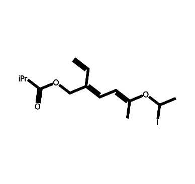 C=C/C(=C\C=C(/C)OC(C)I)COC(=O)C(C)C